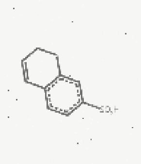 O=S(=O)(O)c1ccc2c(c1)CCC=C2